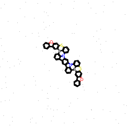 c1cc2c3c(c1)-n1c4cc5c(cc4c4cccc(c41)B3c1cc3c(cc1S2)oc1ccccc13)c1cccc2c1n5-c1cccc3c1B2c1cc2c(cc1S3)oc1ccccc12